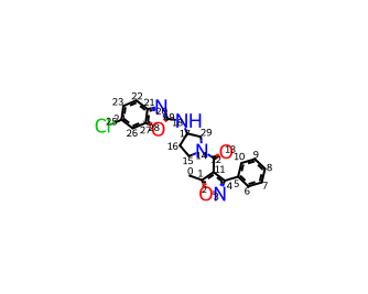 Cc1onc(-c2ccccc2)c1C(=O)N1CCC(Nc2nc3ccc(Cl)cc3o2)C1